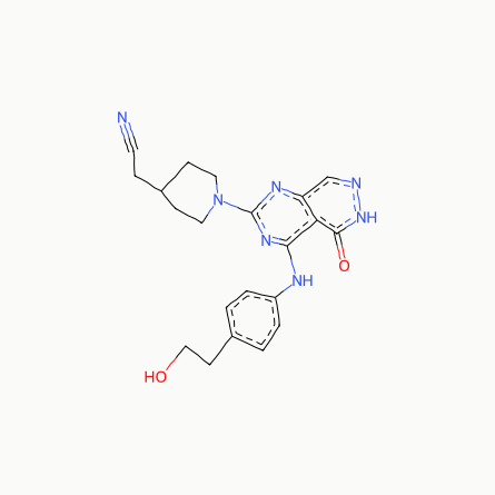 N#CCC1CCN(c2nc(Nc3ccc(CCO)cc3)c3c(=O)[nH]ncc3n2)CC1